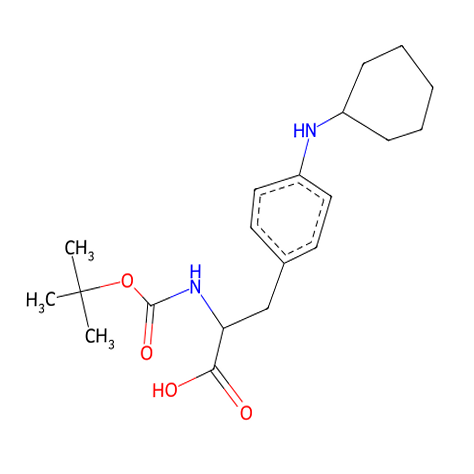 CC(C)(C)OC(=O)NC(Cc1ccc(NC2CCCCC2)cc1)C(=O)O